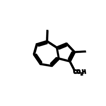 Cc1ccccc2c(C(=O)O)c(C)cc1-2